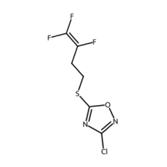 FC(F)=C(F)CCSc1nc(Cl)no1